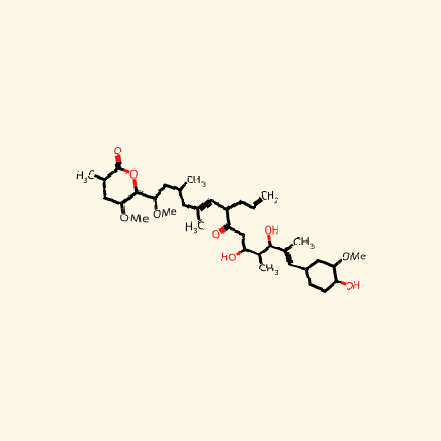 C=CCC(C=C(C)CC(C)CC(OC)C1OC(=O)C(C)CC1OC)C(=O)CC(O)C(C)C(O)C(C)=CC1CCC(O)C(OC)C1